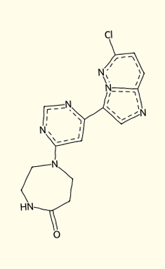 O=C1CCN(c2cc(-c3cnc4ccc(Cl)nn34)ncn2)CCN1